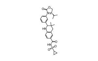 CC(C)[C@@H]1COC(=O)N1c1cccc(C2Nc3ccc(C(=O)NS(=O)(=O)C4CC4)cc3CC2(C)C)c1